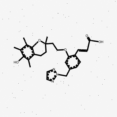 Cc1c(C)c2c(c(C)c1O)CCC(C)(CCOc1cc(Cn3nccn3)ccc1/C=C/C(=O)O)O2